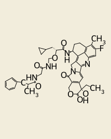 CC[C@@]1(O)C(=O)OCc2c1cc1n(c2=O)Cc2c-1nc1cc(F)c(C)c3c1c2[C@@H](NC(=O)[C@@H](CC1CC1)OCNC(=O)CNC(=O)[C@@H](C)Cc1ccccc1)CC3